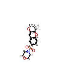 O=C(O)OC1=Cc2cc(S(=O)(=O)N3CCOCC3)ccc2OC1C(F)(F)F